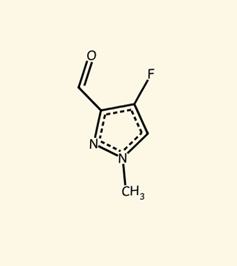 Cn1cc(F)c(C=O)n1